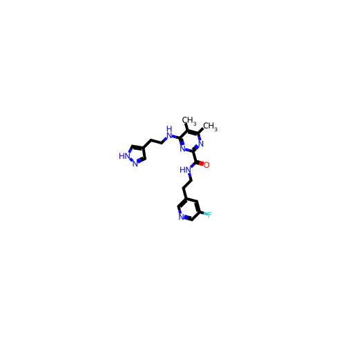 Cc1nc(C(=O)NCCc2cncc(F)c2)nc(NCCc2cn[nH]c2)c1C